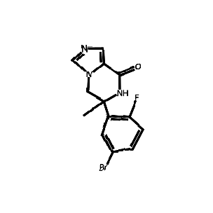 CC1(c2cc(Br)ccc2F)Cn2cncc2C(=O)N1